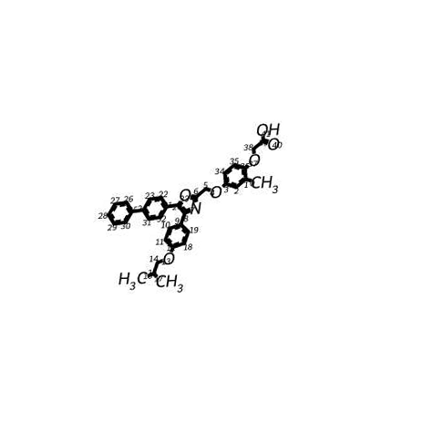 Cc1cc(OCc2nc(-c3ccc(OCC(C)C)cc3)c(-c3ccc(-c4ccccc4)cc3)o2)ccc1OCC(=O)O